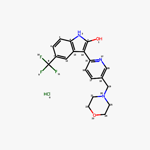 Cl.Oc1[nH]c2ccc(C(F)(F)F)cc2c1-c1ccc(CN2CCOCC2)cn1